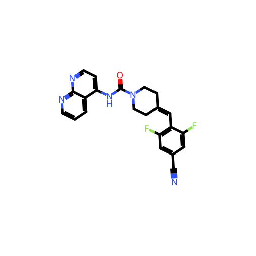 N#Cc1cc(F)c(C=C2CCN(C(=O)Nc3ccnc4ncccc34)CC2)c(F)c1